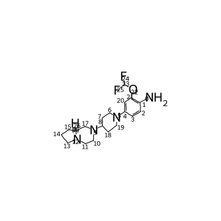 Nc1ccc(N2CCC(N3CCN4CCC[C@@H]4C3)CC2)cc1OC(F)F